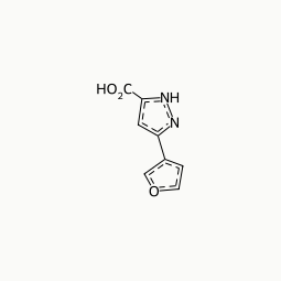 O=C(O)c1cc(-c2ccoc2)n[nH]1